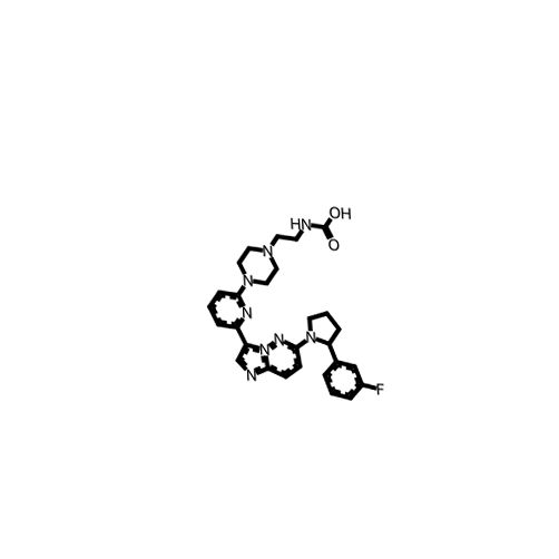 O=C(O)NCCN1CCN(c2cccc(-c3cnc4ccc(N5CCCC5c5cccc(F)c5)nn34)n2)CC1